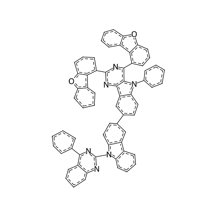 c1ccc(-c2nc(-n3c4ccccc4c4cc(-c5ccc6c(c5)c5nc(-c7cccc8oc9ccccc9c78)nc(-c7cccc8oc9ccccc9c78)c5n6-c5ccccc5)ccc43)nc3ccccc23)cc1